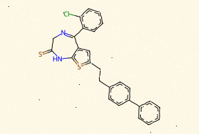 S=C1CN=C(c2ccccc2Cl)c2cc(CCc3ccc(-c4ccccc4)cc3)sc2N1